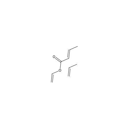 C=CC.C=COC(=O)C=CC